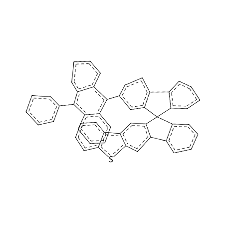 c1ccc(-c2c3ccccc3c(-c3ccc4c(c3)C3(c5ccccc5-4)c4ccccc4-c4cc5sc6ccccc6c5cc43)c3ccccc23)cc1